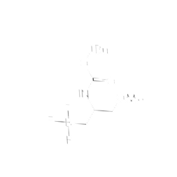 COCC(C[B-](F)(F)F)NC(=O)OC(C)(C)C